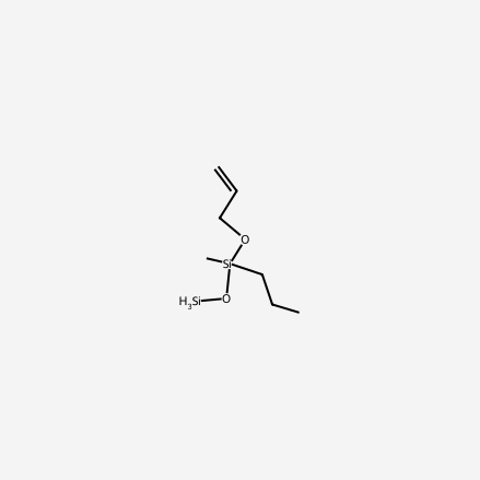 C=CCO[Si](C)(CCC)O[SiH3]